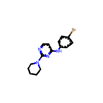 Brc1ccc(Nc2ccnc(N3CCCCC3)n2)cc1